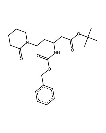 CC(C)(C)OC(=O)CC(CCN1CCCCC1=O)NC(=O)OCc1ccccc1